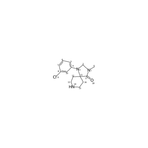 CN1CN(c2cccc(Cl)c2)C2(CCNCC2)C1=O